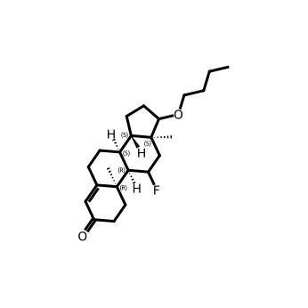 CCCCOC1CC[C@H]2[C@@H]3CCC4=CC(=O)CC[C@]4(C)[C@@H]3C(F)C[C@]12C